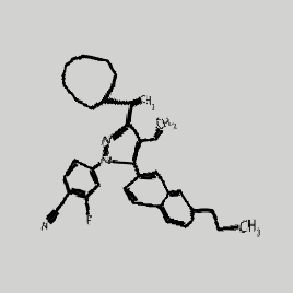 C=Cc1c(C(=C)C2CCCCCCC2)nn(-c2ccc(C#N)c(F)c2)c1-c1ccc2c(c1)=CC(CCC)C=C=2